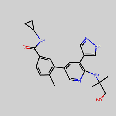 Cc1ccc(C(=O)NC2CC2)cc1-c1cnc(NC(C)(C)CO)c(-c2cn[nH]c2)c1